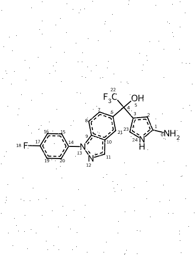 Nc1cc(C(O)(c2ccc3c(cnn3-c3ccc(F)cc3)c2)C(F)(F)F)c[nH]1